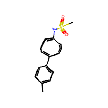 Cc1ccc(-c2ccc(NS(C)(=O)=O)cc2)cc1